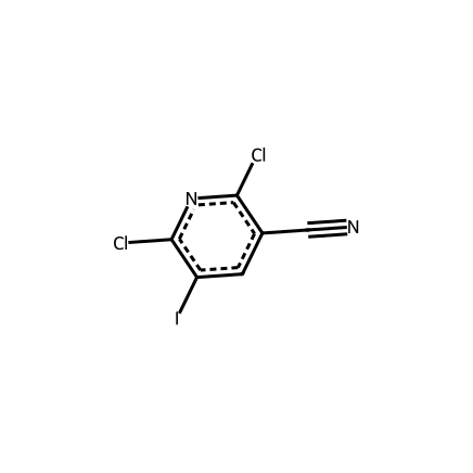 N#Cc1cc(I)c(Cl)nc1Cl